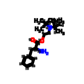 CC(C)(C)N(CCOC(=O)C(N)Cc1ccccc1)C(C)(C)C